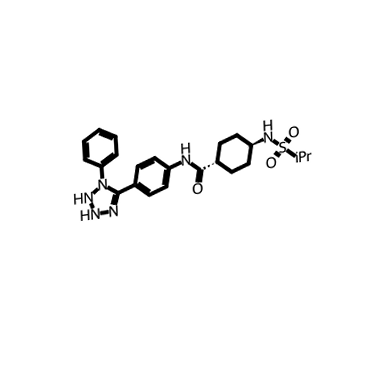 CC(C)S(=O)(=O)N[C@H]1CC[C@H](C(=O)Nc2ccc(C3=NNNN3c3ccccc3)cc2)CC1